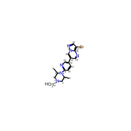 CC1CN(C(=O)O)CC(C)N1c1ccc(-c2cnc3c(Br)cnn3c2)cn1